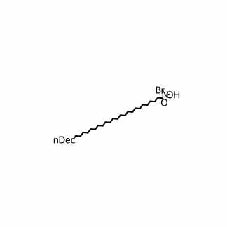 CCCCCCCCCCCCCCCCCCCCCCCCCCCCCCCCCC(=O)N(O)Br